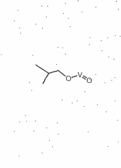 CC(C)C[O][V]=[O]